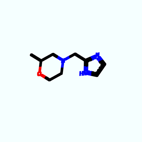 CC1CN(Cc2ncc[nH]2)CCO1